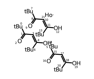 CC(C)(C)C(=O)/C=C(/O)C(C)(C)C.CC(C)(C)C(=O)/C=C(/O)C(C)(C)C.CC(C)(C)C(=O)/C=C(/O)C(C)(C)C.[Ho]